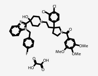 COc1cc(C(=O)N2CCC(CCN3CCC(O)(c4nc5ccccc5n4Cc4ccc(F)cc4)CC3)(c3ccc(Cl)c(Cl)c3)C2)cc(OC)c1OC.O=C(O)C(=O)O